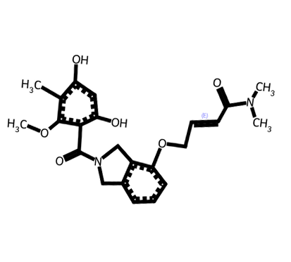 COc1c(C)c(O)cc(O)c1C(=O)N1Cc2cccc(OC/C=C/C(=O)N(C)C)c2C1